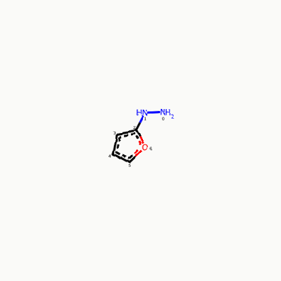 NNc1ccco1